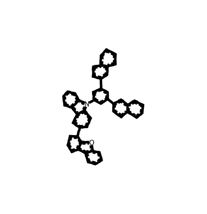 c1ccc2cc(-c3cc(-c4ccc5ccccc5c4)cc(-n4c5ccccc5c5cc(-c6cccc7c6oc6ccccc67)ccc54)c3)ccc2c1